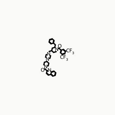 O=C(c1ccc2ccccc2n1)N1CCC(N2CCN(CC3CCN(C(=O)c4cc(C(F)(F)F)cc(C(F)(F)F)c4)C(Cc4ccccc4)C3)CC2)CC1